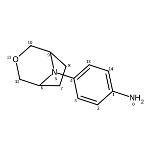 Nc1ccc(N2C3CCC2COC3)cc1